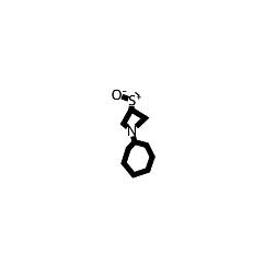 C[S+]([O-])C1CN(C2CCCCCC2)C1